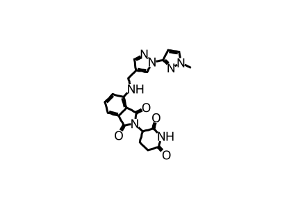 Cn1ccc(-n2cc(CNc3cccc4c3C(=O)N(C3CCC(=O)NC3=O)C4=O)cn2)n1